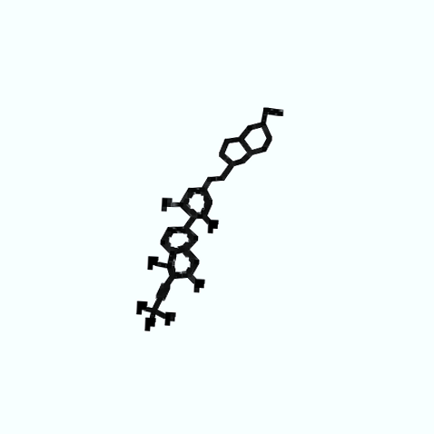 C=CC1CCC2CC(CCc3cc(F)c(-c4ccc5c(F)c(C#CC(F)(F)F)c(F)cc5c4)c(F)c3)CCC2C1